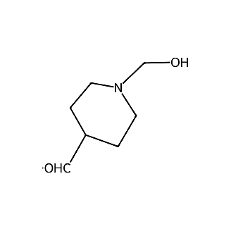 O=[C]C1CCN(CO)CC1